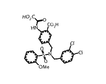 COc1ccccc1S(=O)(=O)N(Cc1ccc(Cl)c(Cl)c1)Cc1ccc(NC(=O)C(=O)O)c(C(=O)O)c1